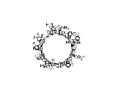 CCCC[C@H]1C(=O)N2C[C@H](O)C[C@@H]2C(=O)N[C@@H](CC(=O)O)C(=O)N[C@@H](C(C)C)C(=O)N(C)[C@@H](Cc2ccccc2)C(=O)N[C@@H](CCC(=O)O)C(=O)N2CCOC[C@@H]2C(=O)N[C@@H](Cc2c[nH]c3ccccc23)C(=O)N[C@@H](Cc2ccc(O)cc2)C(=O)N[C@@H](CCC(N)=O)C(=O)N[C@H](C(=O)NCC(N)=O)CSCC(=O)N[C@@H](Cc2cc(F)c(F)c(F)c2)C(=O)N(C)[C@@H](Cc2ccc(F)cc2)C(=O)N1C